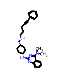 CN(C)c1nc(N[C@H]2CC[C@@H](CNCCCC#Cc3ccccc3)CC2)nc2ccccc12